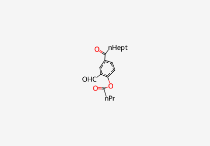 CCCCCCCC(=O)c1ccc(OC(=O)CCC)c(C=O)c1